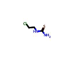 NC(=S)NCCCl